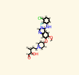 COc1cc2c(Nc3cccc(Cl)c3F)ncnc2cc1OC1CCN(CCC(C)C(O)C=O)CC1